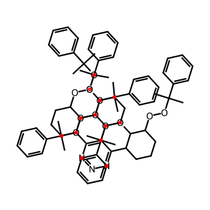 CC(C)(OOC1CCCC(c2nnnc(C3CCCC(OOC(C)(C)c4ccccc4)C3OOC(C)(C)c3ccccc3)c2C2CCCC(OOC(C)(C)c3ccccc3)C2OOC(C)(C)c2ccccc2)C1OOC(C)(C)c1ccccc1)c1ccccc1